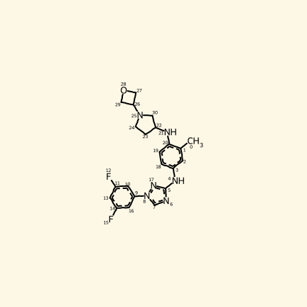 Cc1cc(Nc2ncn(-c3cc(F)cc(F)c3)n2)ccc1NC1CCN(C2COC2)C1